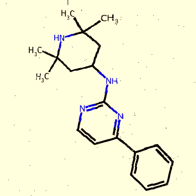 CC1(C)CC(Nc2nccc(-c3ccccc3)n2)CC(C)(C)N1